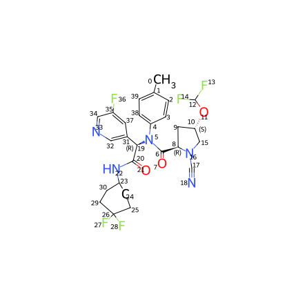 Cc1ccc(N(C(=O)[C@H]2C[C@H](OC(F)F)CN2C#N)[C@@H](C(=O)NC2CCC(F)(F)CC2)c2cncc(F)c2)cc1